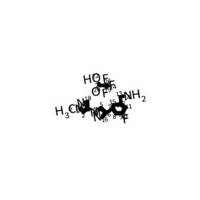 Cn1cc(-n2cc(-c3cc(F)cc(CN)c3)cn2)cn1.O=C(O)C(F)(F)F